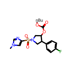 CCCCOC(=O)OC1CN(S(=O)(=O)c2cn(C)cn2)CC1c1ccc(F)cc1